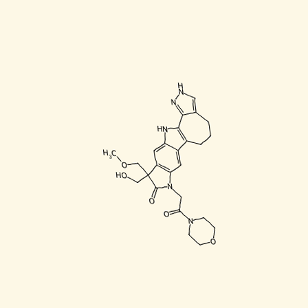 COCC1(CO)C(=O)N(CC(=O)N2CCOCC2)c2cc3c4c([nH]c3cc21)-c1n[nH]cc1CCC4